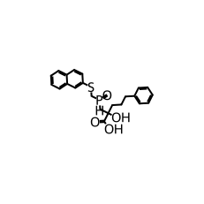 O=C(O)C(O)(CCCc1ccccc1)C[PH](=O)CSc1ccc2ccccc2c1